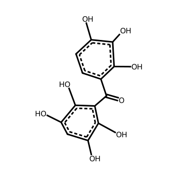 O=C(c1ccc(O)c(O)c1O)c1c(O)c(O)cc(O)c1O